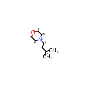 CC(C)CCN1CCOCC1